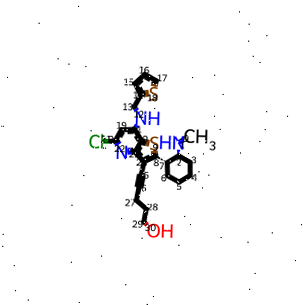 CN[C@H]1CCCC[C@@H]1c1sc2c(NCc3cccs3)cc(Cl)nc2c1C#CCCCO